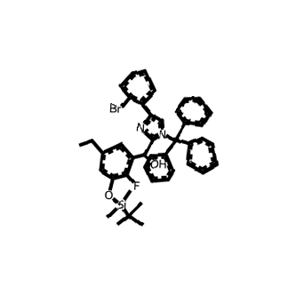 CCc1cc(O[Si](C)(C)C(C)(C)C)c(F)c(C(O)c2nc(-c3ccccc3Br)cn2C(c2ccccc2)(c2ccccc2)c2ccccc2)c1